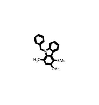 CSc1c(OC(C)=O)cc(C)c2c1c1ccccc1n2Cc1ccccc1